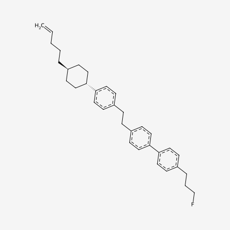 C=CCCC[C@H]1CC[C@H](c2ccc(CCc3ccc(-c4ccc(CCCF)cc4)cc3)cc2)CC1